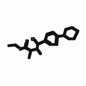 CCOC(=O)C(C)C(C)C(Cl)c1ccc(C2CCCCC2)cc1